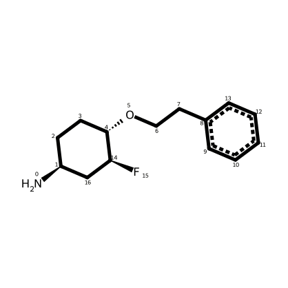 N[C@H]1CC[C@H](OCCc2ccccc2)[C@@H](F)C1